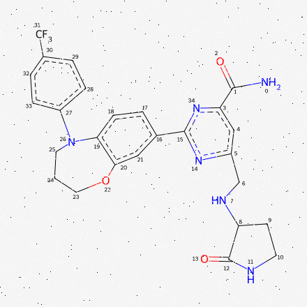 NC(=O)c1cc(CNC2CCNC2=O)nc(-c2ccc3c(c2)OCCCN3c2ccc(C(F)(F)F)cc2)n1